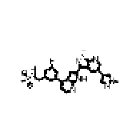 Cn1cc(-c2cnc3[nH]nc(-c4cc5c(-c6cc(F)cc(CNS(C)(=O)=O)c6)ccnc5[nH]4)c3c2)cn1